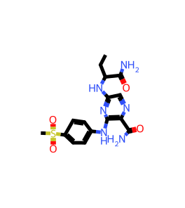 CCC(Nc1cnc(C(N)=O)c(Nc2ccc(S(C)(=O)=O)cc2)n1)C(N)=O